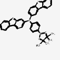 CC1(C)OB(c2ccc(N(c3ccc4c(c3)oc3ccccc34)c3ccc4sc5ccccc5c4c3)cc2)OC1(C)C